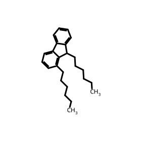 CCCCCCc1cccc2c1C(CCCCCC)c1ccccc1-2